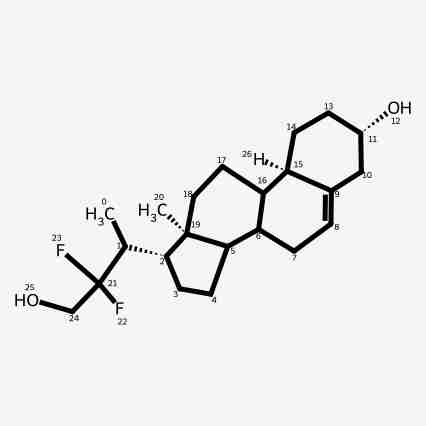 CC([C@H]1CCC2C3CC=C4C[C@@H](O)CC[C@@H]4C3CC[C@@]21C)C(F)(F)CO